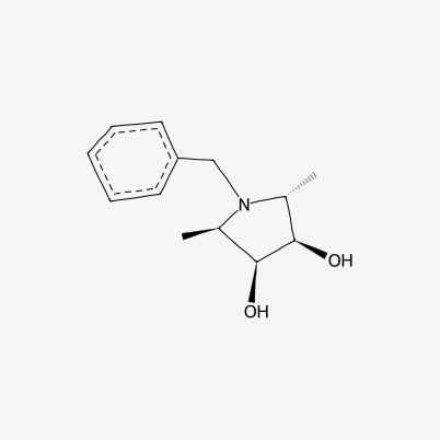 C[C@@H]1[C@H](O)[C@H](O)[C@@H](C)N1Cc1ccccc1